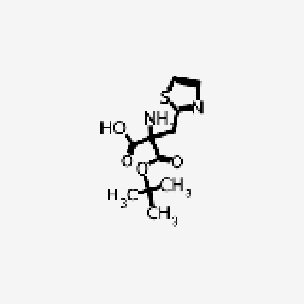 CC(C)(C)OC(=O)C(N)(Cc1nccs1)C(=O)O